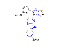 COc1cccc(-c2nc3sccn3c2-c2ccnc(N[C@@H]3CCCN(SC)C3)n2)c1